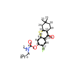 CC(C)CN(C)C(=O)Oc1cc2sc3c(c(=O)c2cc1F)CCC(C)(C)C3